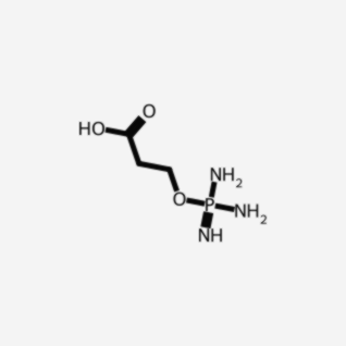 N=P(N)(N)OCCC(=O)O